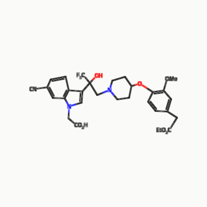 [C-]#[N+]c1ccc2c(C(O)(CN3CCC(Oc4ccc(CC(=O)OCC)cc4OC)CC3)C(F)(F)F)cn(CC(=O)O)c2c1